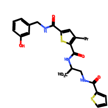 CC(C)c1cc(C(=O)NCc2cccc(O)c2)sc1C(=O)NC(CNC(=O)c1cccs1)C(=O)O